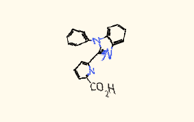 O=C(O)c1cccc(-c2nc3ccccc3n2-c2ccccc2)n1